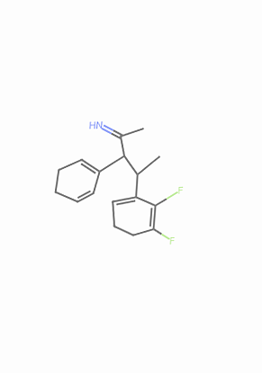 CC(=N)C(C1=CCCC=C1)C(C)C1=CCCC(F)=C1F